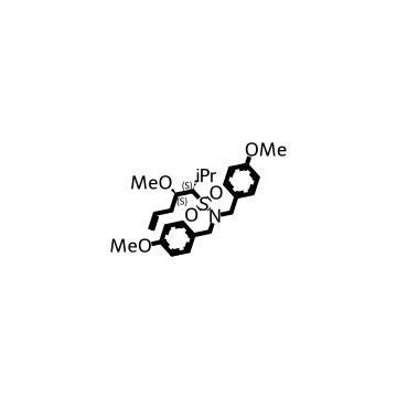 C=CC[C@H](OC)[C@H](C(C)C)S(=O)(=O)N(Cc1ccc(OC)cc1)Cc1ccc(OC)cc1